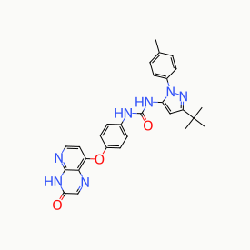 Cc1ccc(-n2nc(C(C)(C)C)cc2NC(=O)Nc2ccc(Oc3ccnc4[nH]c(=O)cnc34)cc2)cc1